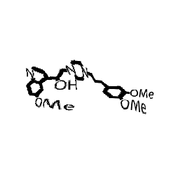 COc1ccc2nccc(C(O)CN3CCN(CCCc4ccc(OC)c(OC)c4)CC3)c2c1